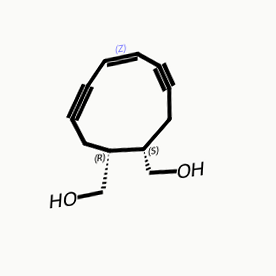 OC[C@@H]1CC#C/C=C\C#CC[C@@H]1CO